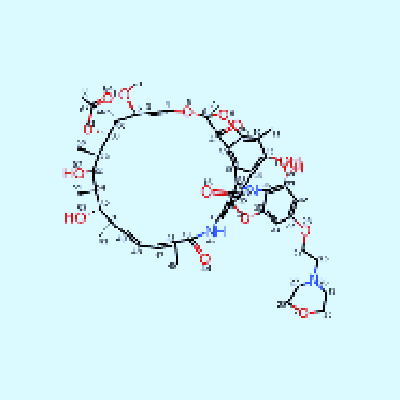 CO[C@H]1/C=C/O[C@@]2(C)Oc3c(C)c(O)c4c(=O)c(c5oc6cc(OCCN7CCOCC7)cc(O)c6nc-5c4c3C2=O)NC(=O)/C(C)=C\C=C\[C@H](C)[C@H](O)[C@@H](C)[C@@H](O)[C@@H](C)[C@H](OC(C)=O)[C@@H]1C